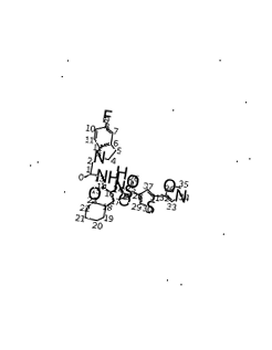 C[C@@H](CN1CCc2cc(F)ccc21)NC(=O)[C@H](CC1CCCCC1)NS(=O)(=O)c1csc(-c2cnco2)c1